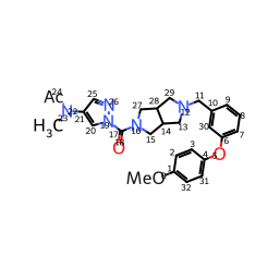 COc1ccc(Oc2cccc(CN3CC4CN(C(=O)n5cc(N(C)C(C)=O)cn5)CC4C3)c2)cc1